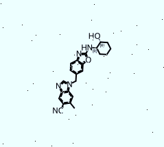 Cc1cc2c(cc1C#N)ncn2Cc1ccc2nc(N[C@@H]3CCCC[C@H]3O)oc2c1